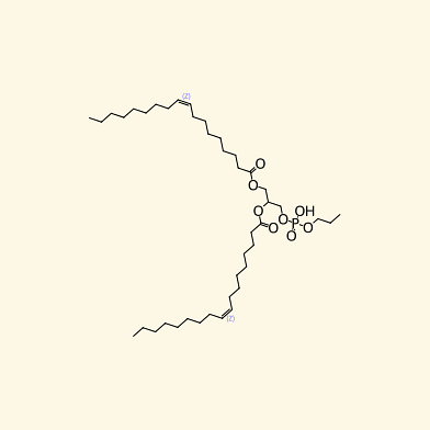 CCCCCCCC/C=C\CCCCCCCC(=O)OCC(COP(=O)(O)OCCC)OC(=O)CCCCCCC/C=C\CCCCCCCC